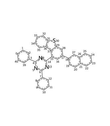 c1ccc(-c2nc(-c3ccccc3)nc(-c3cc(-c4ccc5ccccc5c4)cc4sc5ccccc5c34)n2)cc1